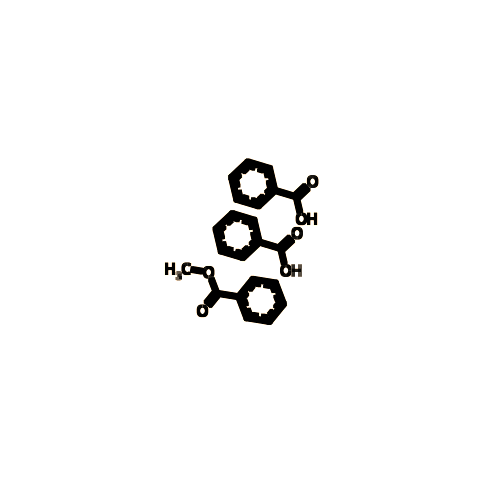 COC(=O)c1ccccc1.O=C(O)c1ccccc1.O=C(O)c1ccccc1